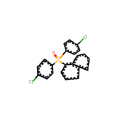 O=P(c1ccc(Cl)cc1)(c1ccc(Cl)cc1)c1cccc2ccccc12